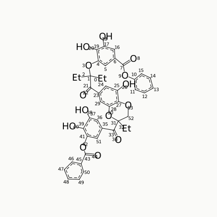 CCC(CC)(Oc1cc(C(=O)Oc2ccccc2)cc(O)c1O)C(=O)c1cc(O)c2c(c1)OC(CC)(C(=O)c1cc(O)c(O)c(OC(=O)c3ccccc3)c1)CO2